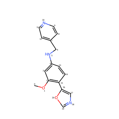 COc1cc(NCc2ccncc2)ccc1-c1cnco1